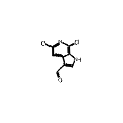 O=Cc1c[nH]c2c(Cl)nc(Cl)cc12